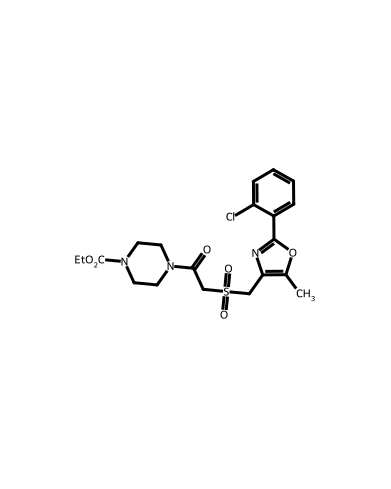 CCOC(=O)N1CCN(C(=O)CS(=O)(=O)Cc2nc(-c3ccccc3Cl)oc2C)CC1